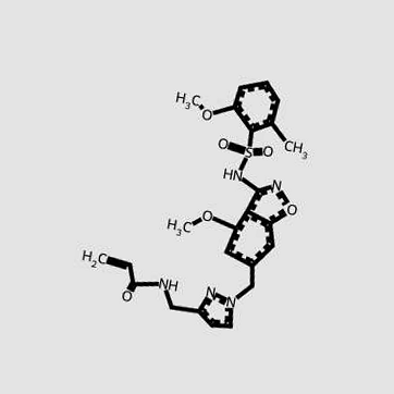 C=CC(=O)NCc1ccn(Cc2cc(OC)c3c(NS(=O)(=O)c4c(C)cccc4OC)noc3c2)n1